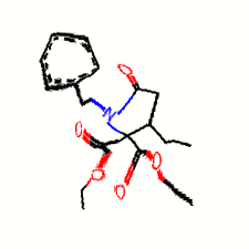 CCOC(=O)C1(C(=O)OCC)C(CC)CC(=O)N1Cc1ccccc1